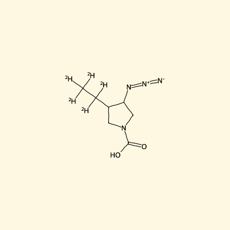 [2H]C([2H])([2H])C([2H])([2H])C1CN(C(=O)O)CC1N=[N+]=[N-]